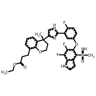 CCOC(=O)CCc1cccc2c1OCCC2(C)c1c[nH]c(-c2cc(Oc3c(F)c(F)c4[nH]ccc4c3S(C)(=N)=O)ccc2F)n1